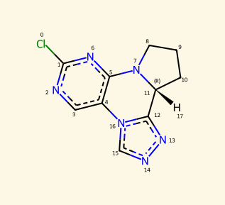 Clc1ncc2c(n1)N1CCC[C@@H]1c1nncn1-2